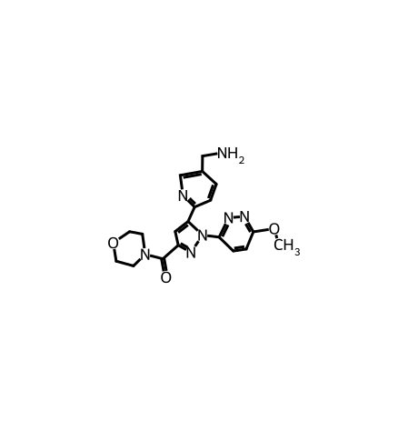 COc1ccc(-n2nc(C(=O)N3CCOCC3)cc2-c2ccc(CN)cn2)nn1